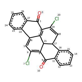 O=C1C2=C3C(=CC(Cl)=C4C(=O)c5ccccc5C(C=C2Cl)C43)c2ccccc21